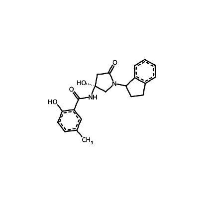 Cc1ccc(O)c(C(=O)N[C@@]2(O)CC(=O)N(C3CCc4ccccc43)C2)c1